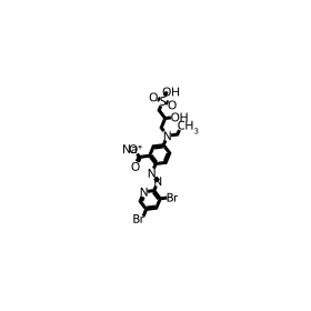 CCN(CC(O)CS(=O)(=O)O)c1ccc(N=Nc2ncc(Br)cc2Br)c(C(=O)[O-])c1.[Na+]